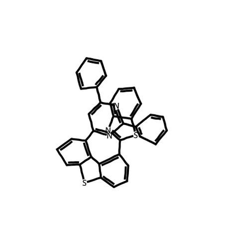 c1ccc(-c2cc(-c3cccc4sc5cccc(-c6nc7ccccc7s6)c5c34)nc(-c3ccccc3)n2)cc1